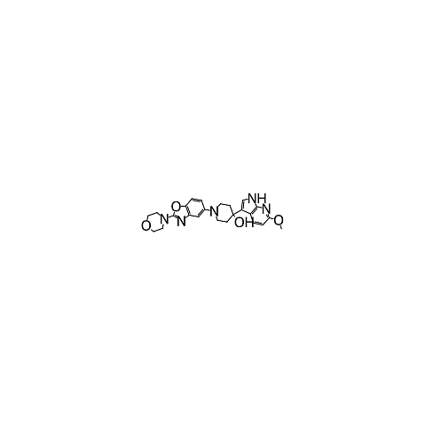 COc1ccc2c(C3(O)CCN(c4ccc5oc(N6CCOCC6)nc5c4)CC3)c[nH]c2n1